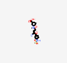 CN1C(=CC=C(C#N)C(=O)c2ccc(NS(C)(=O)=O)cc2)Oc2ccc(C(=O)O)cc21